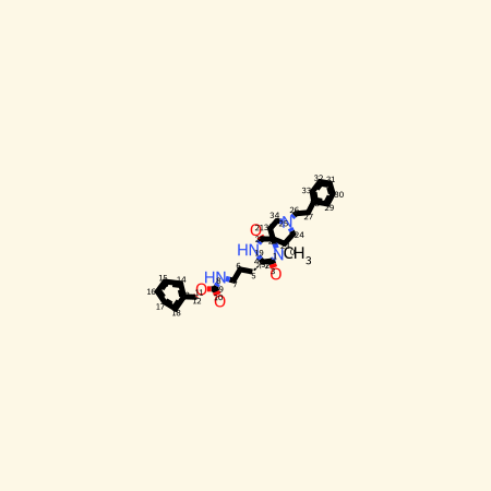 CN1C(=O)[C@H](CCCNC(=O)OCc2ccccc2)NC(=O)C12CCN(CCc1ccccc1)CC2